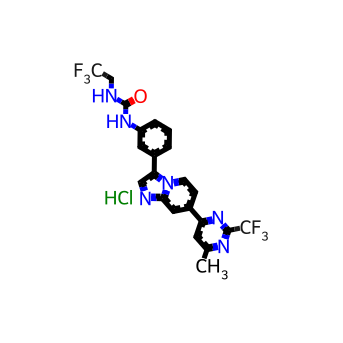 Cc1cc(-c2ccn3c(-c4cccc(NC(=O)NCC(F)(F)F)c4)cnc3c2)nc(C(F)(F)F)n1.Cl